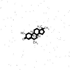 C[C@H]1C[C@H]2C3=C(CC[C@@H]2[C@@]2(C)C[C@@H](C#N)C(=O)C=C12)C(C)(C)CC3